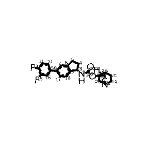 O=C(NC1CCc2cc(-c3ccc(F)c(F)c3)ccc21)O[C@H]1CN2CCC1CC2